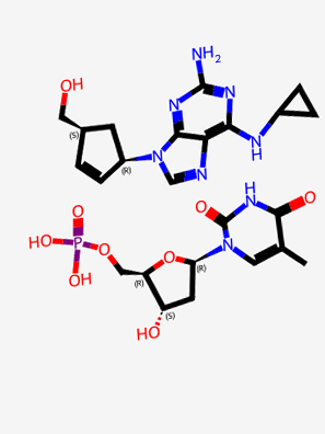 Cc1cn([C@H]2C[C@H](O)[C@@H](COP(=O)(O)O)O2)c(=O)[nH]c1=O.Nc1nc(NC2CC2)c2ncn([C@H]3C=C[C@@H](CO)C3)c2n1